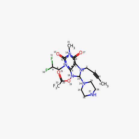 CC#CCN1c2c(n(CC(F)F)c(=O)n(C)c2=O)N(OC(=O)C(F)(F)F)C1N1CCNCC1